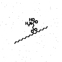 CCCCCCCCCCCC(CCCCCCCC)OC(=O)CCC(N)C(=O)O